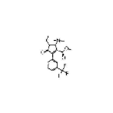 CCC1C(=O)C(c2cccc(C(F)(F)F)c2)=C(C(=O)OC)C1NC